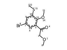 COCC(=O)c1nc(Br)cc(SI)c1OC